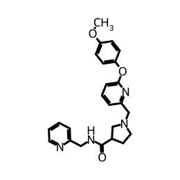 COc1ccc(Oc2cccc(CN3CCC(C(=O)NCc4ccccn4)C3)n2)cc1